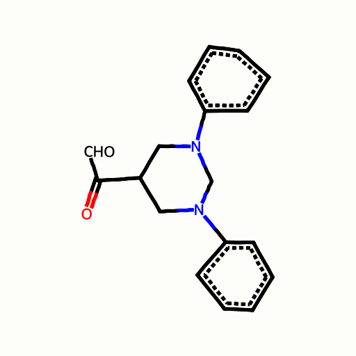 O=CC(=O)C1CN(c2ccccc2)CN(c2ccccc2)C1